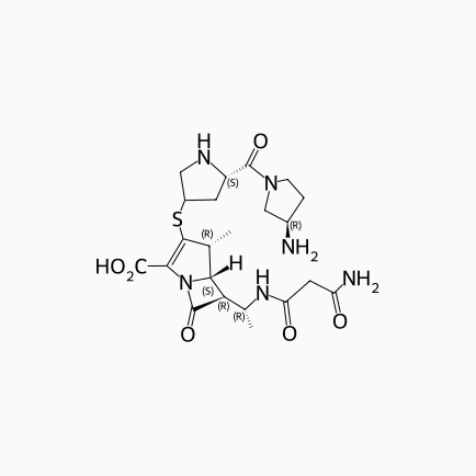 C[C@@H](NC(=O)CC(N)=O)[C@H]1C(=O)N2C(C(=O)O)=C(SC3CN[C@H](C(=O)N4CC[C@@H](N)C4)C3)[C@H](C)[C@H]12